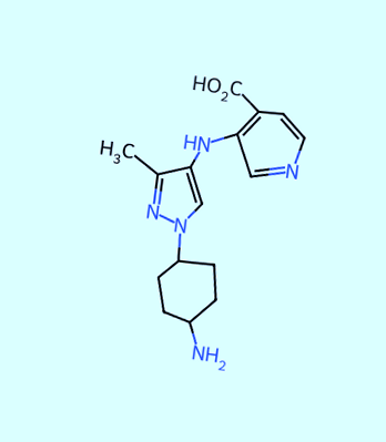 Cc1nn(C2CCC(N)CC2)cc1Nc1cnccc1C(=O)O